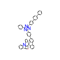 c1ccc(-c2ccc(-c3ccc(-c4nc(-c5ccccc5)nc(-c5ccc(-c6ccc7c(c6)C6(c8ccccc8-7)c7ccccc7-n7c8ccccc8c8cccc6c87)cc5)n4)cc3)cc2)cc1